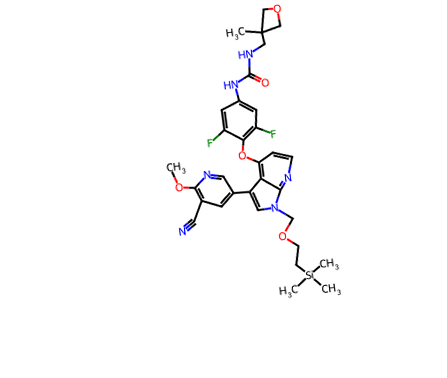 COc1ncc(-c2cn(COCC[Si](C)(C)C)c3nccc(Oc4c(F)cc(NC(=O)NCC5(C)COC5)cc4F)c23)cc1C#N